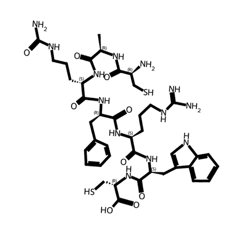 C[C@@H](NC(=O)[C@@H](N)CS)C(=O)N[C@@H](CCCNC(N)=O)C(=O)N[C@H](Cc1ccccc1)C(=O)N[C@@H](CCCNC(=N)N)C(=O)N[C@@H](Cc1c[nH]c2ccccc12)C(=O)N[C@@H](CS)C(=O)O